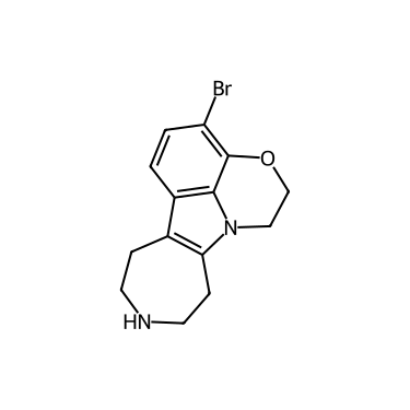 Brc1ccc2c3c(n4c2c1OCC4)CCNCC3